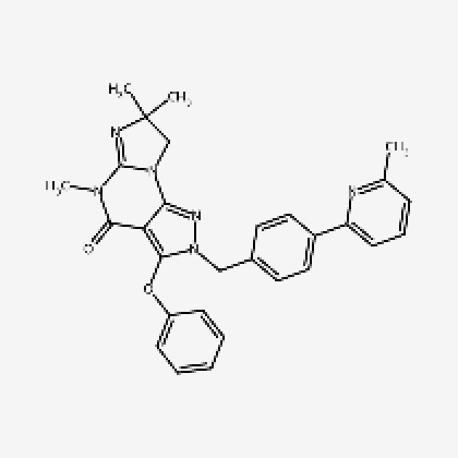 Cc1cccc(-c2ccc(Cn3nc4c(c3Oc3ccccc3)C(=O)N(C)C3=NC(C)(C)CN34)cc2)n1